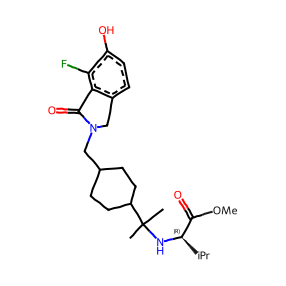 COC(=O)[C@H](NC(C)(C)C1CCC(CN2Cc3ccc(O)c(F)c3C2=O)CC1)C(C)C